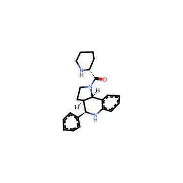 O=C([C@H]1CCCCN1)N1CC[C@@H]2[C@H](c3ccccc3)Nc3ccccc3[C@@H]21